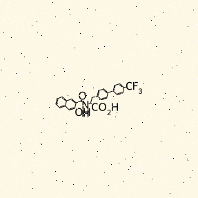 O=C(NC(Cc1ccc(-c2ccc(C(F)(F)F)cc2)cc1)C(=O)O)c1cc2ccccc2cc1O